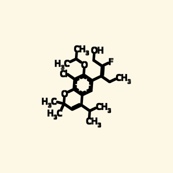 CC/C(=C(\F)CO)c1cc2c(c(Cl)c1OC(C)C)OC(C)(C)C=C2C(C)C